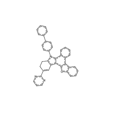 C1=C(c2ncccn2)CCc2c1c1c3oc4ccccc4c3c3ccccc3c1n2-c1ccc(-c2ccccc2)cc1